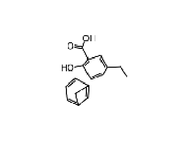 CCc1ccc(O)c(C(=O)O)c1.c1cc2cc(c1)C2